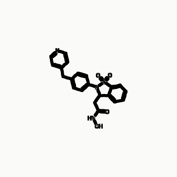 O=C(CC1c2ccccc2S(=O)(=O)N1c1ccc(Cc2ccncc2)cc1)NO